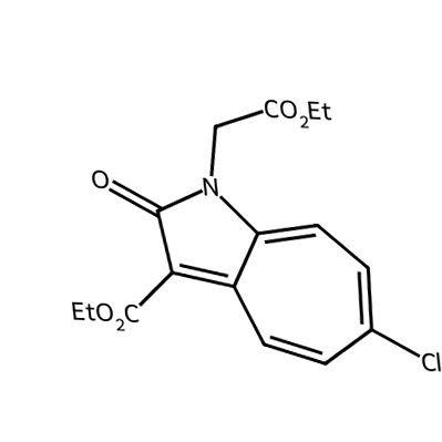 CCOC(=O)Cn1c2ccc(Cl)ccc-2c(C(=O)OCC)c1=O